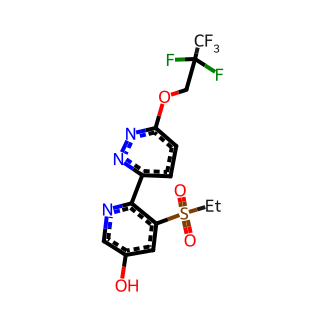 CCS(=O)(=O)c1cc(O)cnc1-c1ccc(OCC(F)(F)C(F)(F)F)nn1